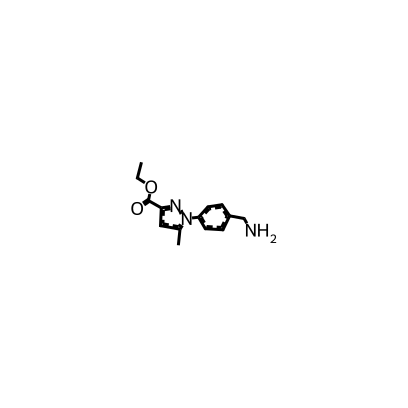 CCOC(=O)c1cc(C)n(-c2ccc(CN)cc2)n1